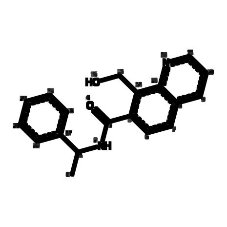 CC(NC(=O)c1ccc2cccnc2c1CO)c1ccccc1